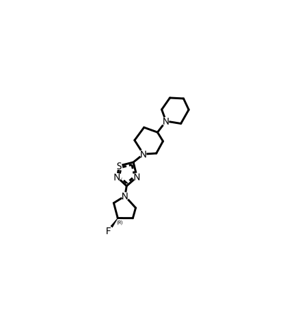 F[C@@H]1CCN(c2nsc(N3CCC(N4CCCCC4)CC3)n2)C1